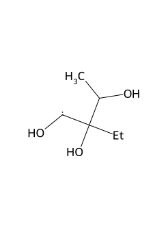 CCC(O)([CH]O)C(C)O